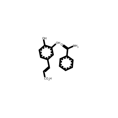 NC(=O)c1ccccc1.O=C(O)/C=C/c1ccc(O)c(O)c1